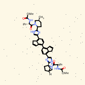 COC(=O)N[C@H](C(=O)N1C[C@@H](C)CCC1c1nc(-c2ccc(-c3ccc(-c4c[nH]c([C@@]56CC[C@@H](CN5C(=O)[C@@H](NC(=O)OC)C(C)C)C6)n4)c4c3C=CC4)c3c2CC=C3)c[nH]1)C(C)C